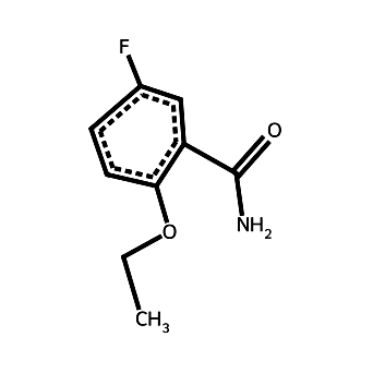 CCOc1ccc(F)cc1C(N)=O